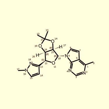 Cc1ncnc2c1ccn2[C@@H]1O[C@@H](c2ccn(C)n2)[C@H]2OC(C)(C)O[C@H]21